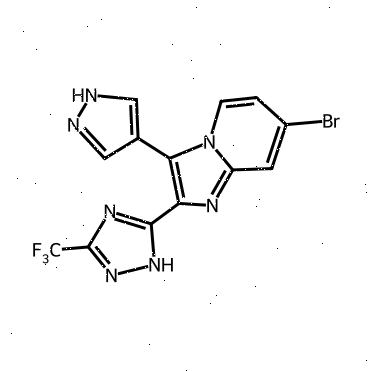 FC(F)(F)c1n[nH]c(-c2nc3cc(Br)ccn3c2-c2cn[nH]c2)n1